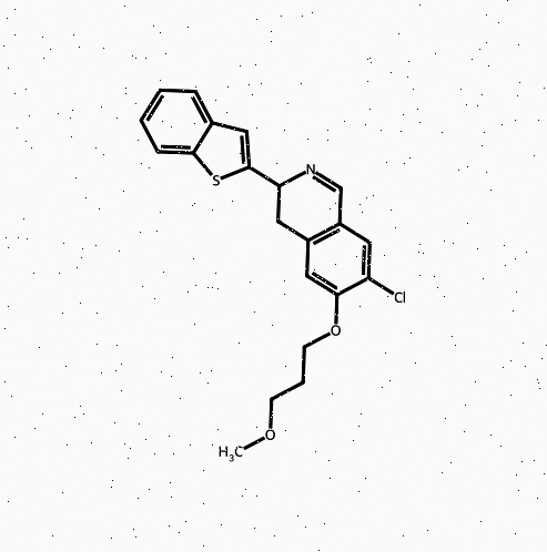 COCCCOc1cc2c(cc1Cl)C=NC(c1cc3ccccc3s1)C2